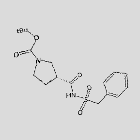 CC(C)(C)OC(=O)N1CC[C@@H](C(=O)NS(=O)(=O)Cc2ccccc2)C1